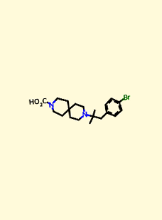 CC(C)(Cc1ccc(Br)cc1)N1CCC2(CCN(C(=O)O)CC2)CC1